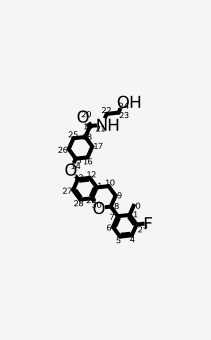 Cc1c(F)cccc1C1CCc2cc(OC3CCC(C(=O)NCCO)CC3)ccc2O1